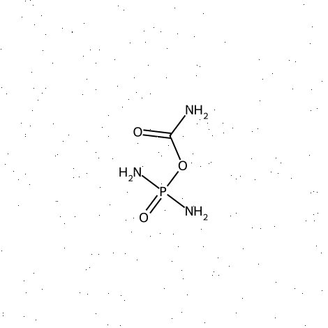 NC(=O)OP(N)(N)=O